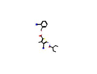 CCC(CC)C(=O)Nc1sc(C(=O)OCc2ccccc2C#N)c(C)c1C#N